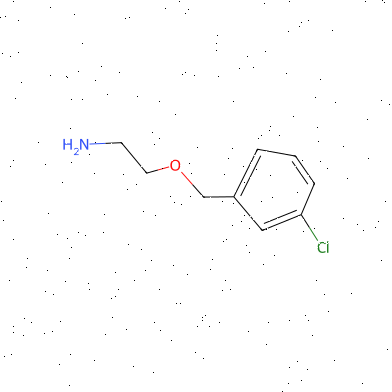 NCCOCc1cccc(Cl)c1